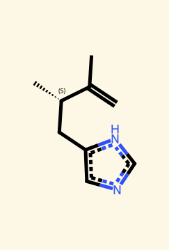 C=C(C)[C@@H](C)Cc1cnc[nH]1